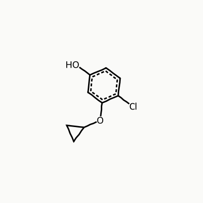 Oc1ccc(Cl)c(OC2CC2)c1